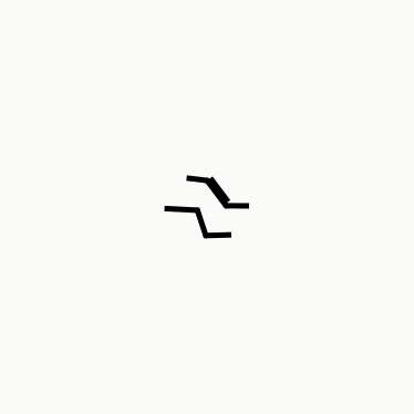 CC=CC.CCCC